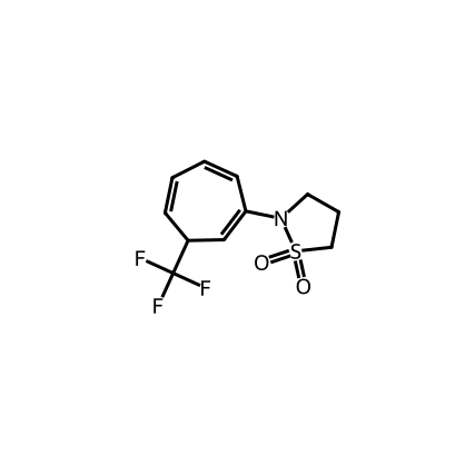 O=S1(=O)CCCN1C1=CC(C(F)(F)F)C=CC=C1